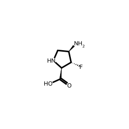 N[C@@H]1CN[C@H](C(=O)O)[C@H]1F